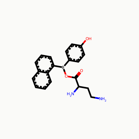 NCCC(N)C(=O)OB(c1ccc(O)cc1)c1cccc2ccccc12